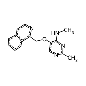 CNc1nc(C)ncc1OCc1nccc2ccccc12